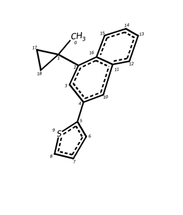 CC1(c2cc(-c3cccs3)cc3ccccc23)CC1